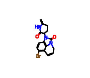 C=C1CCC(n2c(=O)n3c4c(c(Br)ccc42)C=CC3)C(=O)N1